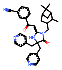 CC1C(CN2C(=O)C(Cc3ccncc3)(Cc3ccncc3)NC2=CC(=O)c2cccc(C#N)c2)CC2CC1C2(C)C